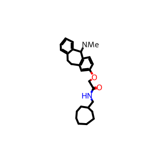 CNC1c2ccccc2CCc2cc(OCC(=O)NCC3CCCCCCC3)ccc21